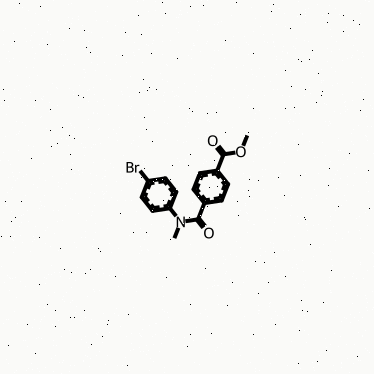 COC(=O)c1ccc(C(=O)N(C)c2ccc(Br)cc2)cc1